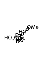 CC[C@H](C(=O)O)C1N=C(c2ccc(NCc3ccc(OC)cc3)cc2)c2c(sc(C)c2C)-n2c(C)nnc21